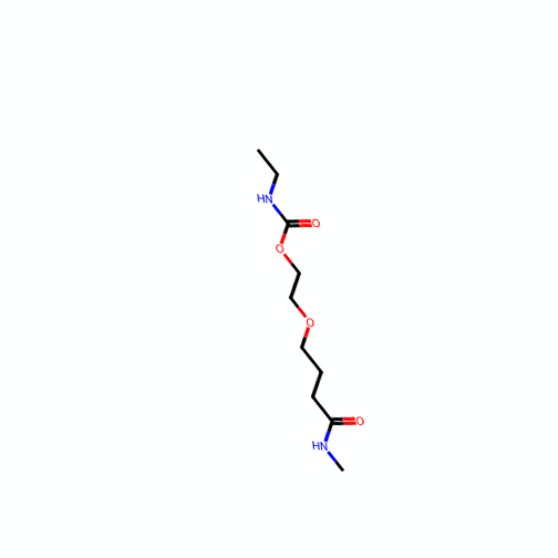 CCNC(=O)OCCOCCCC(=O)NC